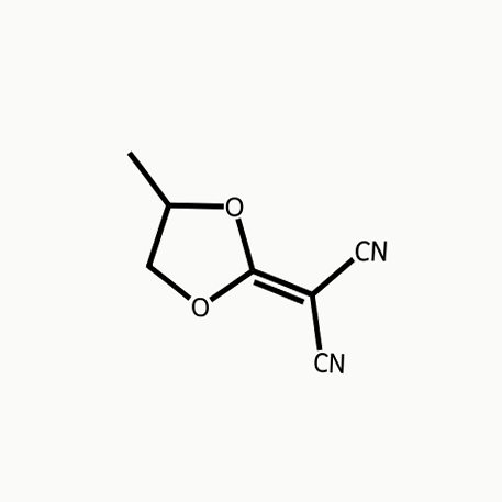 CC1COC(=C(C#N)C#N)O1